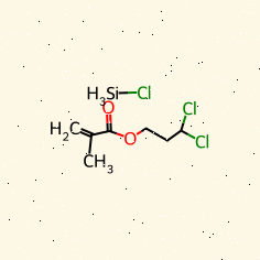 C=C(C)C(=O)OCCC(Cl)Cl.[SiH3]Cl